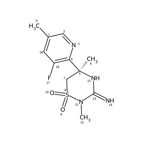 Cc1cnc([C@]2(C)CS(=O)(=O)N(C)C(=N)N2)c(F)c1